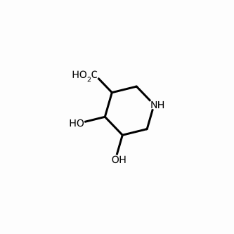 O=C(O)C1CNCC(O)C1O